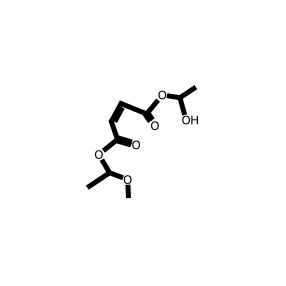 COC(C)OC(=O)/C=C\C(=O)OC(C)O